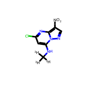 [2H]C([2H])([2H])Nc1cc(Cl)nc2c([N+](=O)[O-])cnn12